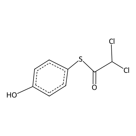 O=C(Sc1ccc(O)cc1)C(Cl)Cl